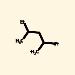 [CH2]C(CC(C)CC)C(C)C